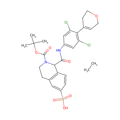 CC.CC(C)(C)OC(=O)N1CCc2cc(S(=O)(=O)O)ccc2C1C(=O)Nc1cc(Cl)c(C2=CCOCC2)c(Cl)c1